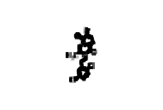 CC1Cn2c(ccc(Br)c2=O)C(=O)N1CCc1cc(Cl)ccc1Cl